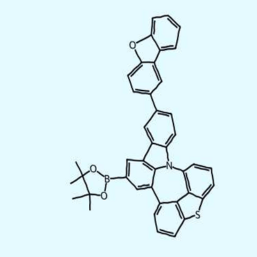 CC1(C)OB(c2cc3c4cccc5sc6cccc(c6c54)n4c5ccc(-c6ccc7oc8ccccc8c7c6)cc5c(c2)c34)OC1(C)C